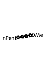 CCCCCC1CCC(c2ccc(-c3ccc(C4CCC(OC)CC4)cc3)cc2)CC1